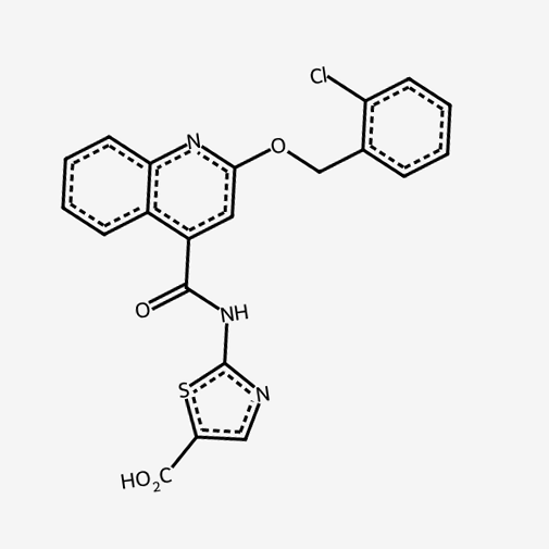 O=C(O)c1cnc(NC(=O)c2cc(OCc3ccccc3Cl)nc3ccccc23)s1